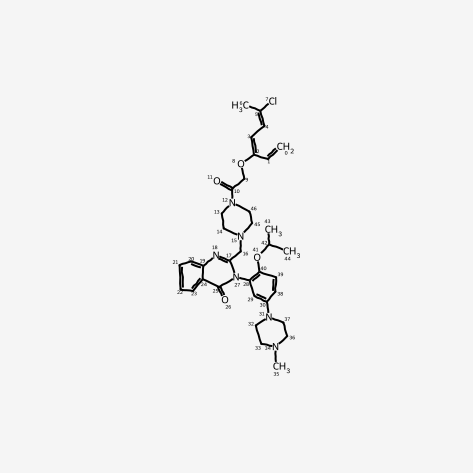 C=C/C(=C\C=C(/C)Cl)OCC(=O)N1CCN(Cc2nc3ccccc3c(=O)n2-c2cc(N3CCN(C)CC3)ccc2OC(C)C)CC1